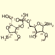 B[C@@H]1O[C@H](COP(=O)(S)OC2C(OC)[C@H](B)O[C@@H]2CO)C(O)C1OC